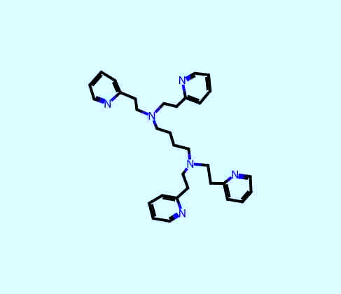 c1ccc(CCN(CCCCN(CCc2ccccn2)CCc2ccccn2)CCc2ccccn2)nc1